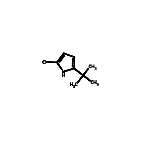 CC(C)(C)c1ccc(Cl)[nH]1